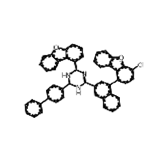 Clc1ccc(-c2cc(C3=NC(c4cccc5oc6ccccc6c45)NC(c4ccc(-c5ccccc5)cc4)N3)cc3ccccc23)c2c1oc1ccccc12